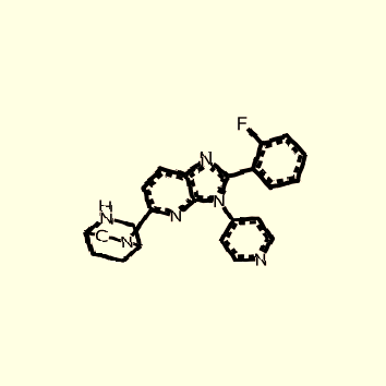 Fc1ccccc1-c1nc2ccc(N3CC4CCC3CN4)nc2n1-c1ccncc1